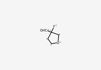 O=CC1(F)CCOC1